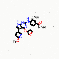 CCOc1ccc(-c2c[nH]c3nc(Nc4ccc(C(=O)NC)cc4OC)nc(OC4CCOC4)c23)cn1